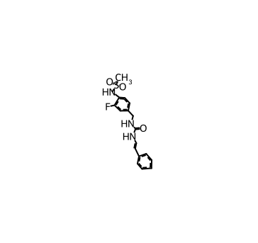 CS(=O)(=O)Nc1ccc(CNC(=O)NC=Cc2ccccc2)cc1F